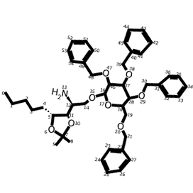 CCCCC[C@H]1OC(C)(C)O[C@H]1[C@@H](N)COC1OC(COCc2ccccc2)C(OCc2ccccc2)C(OCc2ccccc2)C1OCc1ccccc1